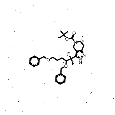 C[C@@H]1Cc2n[nH]c(C(F)(F)C(CCCOCc3ccccc3)OCc3ccccc3)c2CN1C(=O)OC(C)(C)C